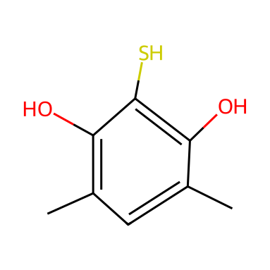 Cc1cc(C)c(O)c(S)c1O